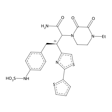 CCN1CCN(C(C(N)=O)[C@H](Cc2ccc(NS(=O)(=O)O)cc2)c2csc(-c3cccs3)n2)C(=O)C1=O